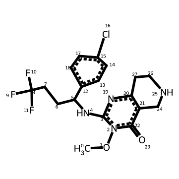 COn1c(NC(CCC(F)(F)F)c2ccc(Cl)cc2)nc2c(c1=O)CNCC2